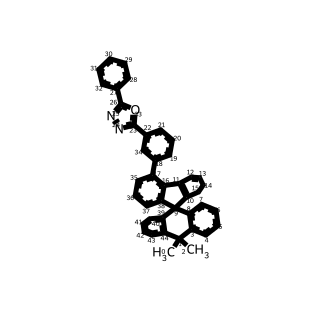 CC1(C)c2ccccc2C2(C3=C(C=CCC3)c3c(-c4cccc(-c5nnc(-c6ccccc6)o5)c4)cccc32)c2ccccc21